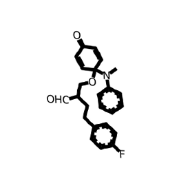 CN(c1ccccc1)C1(OCC(C=O)CCc2ccc(F)cc2)C=CC(=O)C=C1